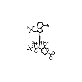 [2H]C([2H])(C#Cc1cc2c(Br)cccn2c1CC(F)(F)F)N(C(=O)OC(C)(C)C)c1ccc(C(=O)OC)nc1OC